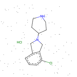 Cl.Clc1cccc2c1CN(C1CCNCC1)C2